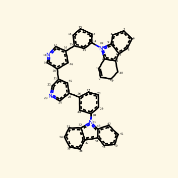 C1=Cc2c(c3ccccc3n2-c2cccc(-c3cncc(-c4cncc(-c5cccc(-n6c7ccccc7c7ccccc76)c5)c4)c3)c2)CC1